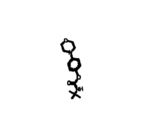 CC(C)(C)NC(=O)Oc1ccc(N2CCOCC2)cc1